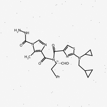 Cc1c(C(=O)N(C(=O)c2csc(N(CC3CC3)C3CC3)n2)[C@H]([C]=O)CC(C)C)ncn1C(=O)NN